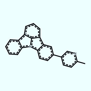 Cc1ccc(-c2ccc3c(c2)c2cccc4c5ccccc5n3c42)cn1